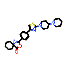 O=C1OC(c2ccc(-c3csc(N4CCC(N5CCCCC5)CC4)n3)cc2)=NC12CCCCC2